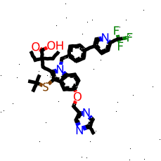 CCC(CC)(Cc1c(SC(C)(C)C)c2cc(OCc3cnc(C)cn3)ccc2n1Cc1ccc(-c2ccc(C(F)(F)F)nc2)cc1)C(=O)O